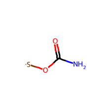 NC(=O)O[S]